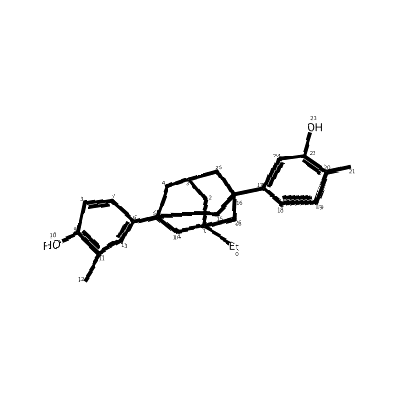 CCC12CC3CC(c4ccc(O)c(C)c4)(C1)CC(c1ccc(C)c(O)c1)(C3)C2